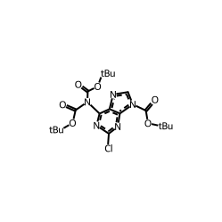 CC(C)(C)OC(=O)N(C(=O)OC(C)(C)C)c1nc(Cl)nc2c1ncn2C(=O)OC(C)(C)C